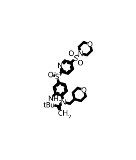 C=C(N(CC1CCOCC1)c1ccc([S+]([O-])c2ccc(S(=O)(=O)N3CCOCC3)cn2)cc1N)C(C)(C)C